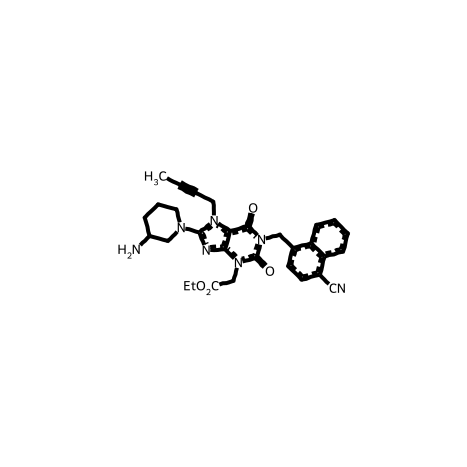 CC#CCn1c(N2CCCC(N)C2)nc2c1c(=O)n(Cc1ccc(C#N)c3ccccc13)c(=O)n2CC(=O)OCC